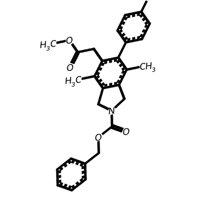 COC(=O)Cc1c(C)c2c(c(C)c1-c1ccc(Cl)cc1)CN(C(=O)OCc1ccccc1)C2